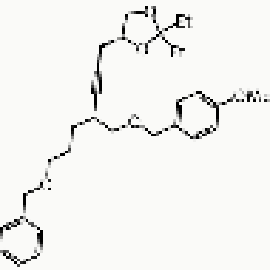 CCC1(CC)OC[C@H](CC#C[C@H](CCCOCc2ccccc2)COCc2ccc(OC)cc2)O1